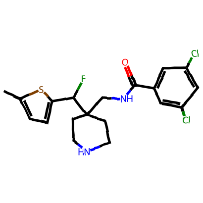 Cc1ccc(C(F)C2(CNC(=O)c3cc(Cl)cc(Cl)c3)CCNCC2)s1